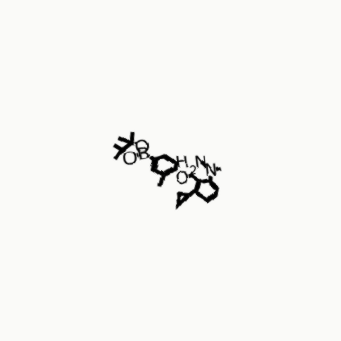 Cc1cc(B2OC(C)(C)C(C)(C)O2)ccc1OCc1c(C2CC2)cccc1N(C)N